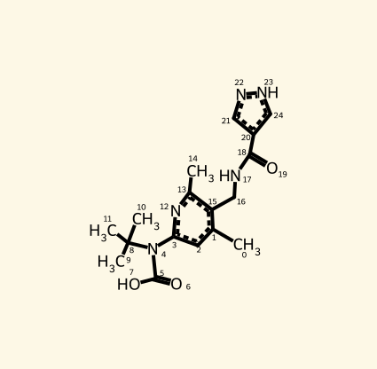 Cc1cc(N(C(=O)O)C(C)(C)C)nc(C)c1CNC(=O)c1cn[nH]c1